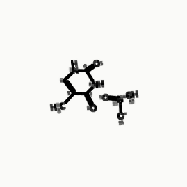 Cc1c[nH]c(=O)[nH]c1=O.O=[N+]([O-])O